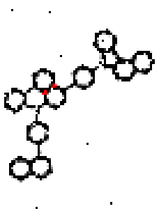 c1ccc(-c2ccccc2N(c2ccc(-c3ccc(-n4c5ccccc5c5c6ccccc6ccc54)cc3)cc2)c2ccc(-c3cccc4ccccc34)cc2)cc1